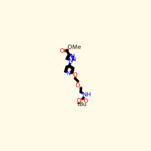 COC(=O)c1cn(-c2ccnc(OCCOCCNC(=O)OC(C)(C)C)c2)nn1